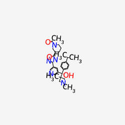 CC(=O)N1CCC[C@@H](c2nc(-c3cncc([C@@](O)(c4ccc(C(C)C)cc4)C4(C)CN(C)C4)c3)no2)C1